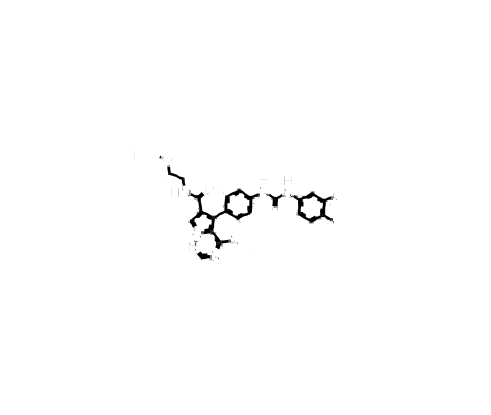 COCCNC(=O)c1cn2ncnc(N)c2c1-c1ccc(NC(=O)Nc2ccc(F)c(C)c2)cc1